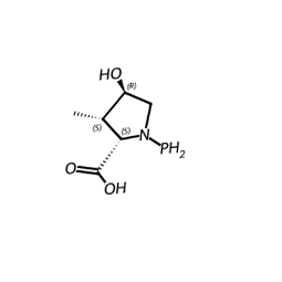 C[C@H]1[C@@H](C(=O)O)N(P)C[C@@H]1O